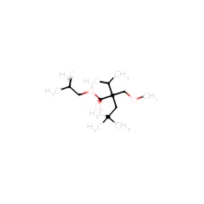 COCC(CC(C)(C)C)(C(=O)OCC(C)C)C(C)C